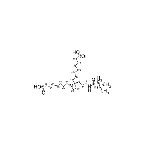 CC(C)(C)OC(=O)NCCCC1(CCCCCCCC(=O)O)CCN1CCCCCCCC(=O)O